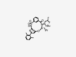 CCCCN(CC(F)F)N1C(=O)c2cccc(c2)S(=O)(=O)Nc2nc(cc(-c3c(C)cccc3C)n2)OC[C@H]1CC(C)C